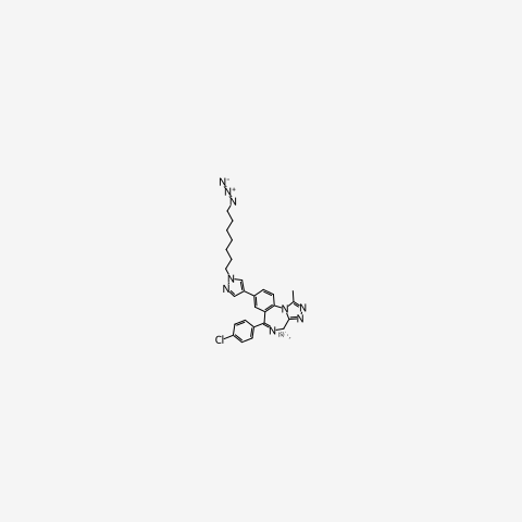 Cc1nnc2n1-c1ccc(-c3cnn(CCCCCCCN=[N+]=[N-])c3)cc1C(c1ccc(Cl)cc1)=N[C@H]2C